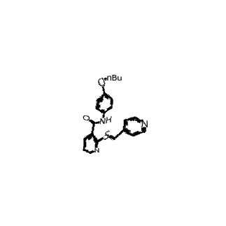 CCCCOc1ccc(NC(=O)c2cccnc2SCc2ccncc2)cc1